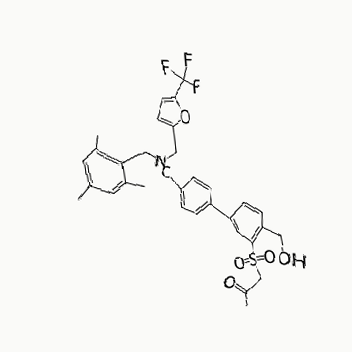 CC(=O)CS(=O)(=O)c1cc(-c2ccc(CN(Cc3ccc(C(F)(F)F)o3)Cc3c(C)cc(C)cc3C)cc2)ccc1CO